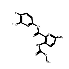 Cc1ccc(NC(=O)OC(C)(C)C)c(C(=O)Nc2ccc(F)c(C)n2)n1